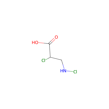 O=C(O)C(Cl)CNCl